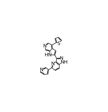 c1cncc(-c2ccc3[nH]nc(-c4cc5c(-c6cccs6)cncc5[nH]4)c3n2)c1